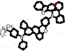 C[Si](C)(C)c1ccc(N(c2ccccc2)c2cc3c4cccc5c4c(cc3c3ccccc23)-c2ccc(N(c3ccccc3-c3ccccc3)c3cccc4c3oc3ccccc34)cc2O5)cc1